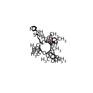 CC[C@H]1OC(=O)[C@H](C)[C@@H](O[C@H]2C[C@@](C)(OC)[C@@H](O)[C@H](C)O2)[C@H](C)[C@@H](O[C@@H]2O[C@H](C)C[C@H](N(C)C)[C@H]2O)[C@](C)(O)C[C@@H](C)CN(CCCNC(=S)Nc2cccnc2)[C@H](C)[C@@H](O)[C@]1(C)O